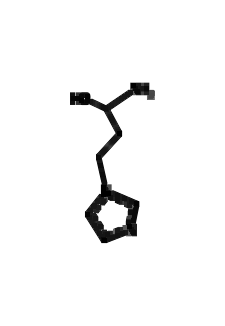 NC(O)CCn1ccnc1